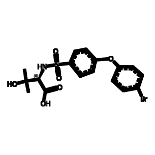 CC(C)(O)[C@@H](NS(=O)(=O)c1ccc(Oc2ccc(Br)cc2)cc1)C(=O)O